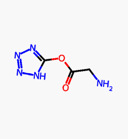 NCC(=O)Oc1nnn[nH]1